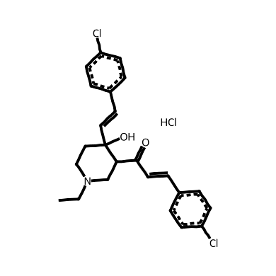 CCN1CCC(O)(C=Cc2ccc(Cl)cc2)C(C(=O)C=Cc2ccc(Cl)cc2)C1.Cl